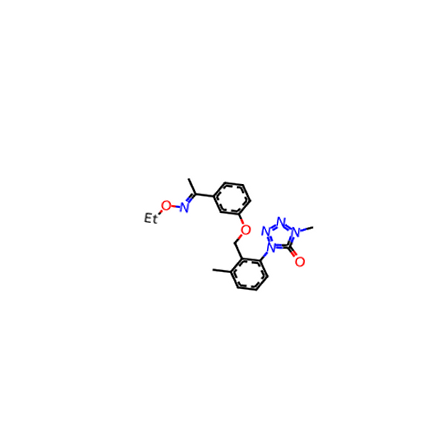 CCON=C(C)c1cccc(OCc2c(C)cccc2-n2nnn(C)c2=O)c1